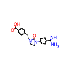 N=C(N)c1ccc(N2CCN(CCc3ccc(C(=O)O)cc3)C2=O)cc1